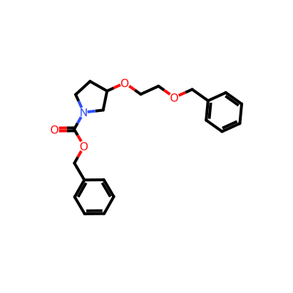 O=C(OCc1ccccc1)N1CCC(OCCOCc2ccccc2)C1